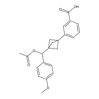 COc1ccc(C(OC(C)=O)C23CC(c4cccc(C(=O)O)c4)(C2)C3)cc1